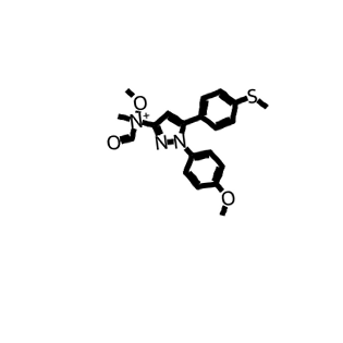 COc1ccc(-n2nc([N+](C)(C=O)OC)cc2-c2ccc(SC)cc2)cc1